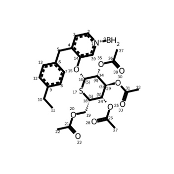 B[n+]1ccc(Cc2ccc(CC)cc2)c(O[C@H]2S[C@@H](COC(C)=O)[C@@H](OC(C)=O)[C@H](OC(C)=O)[C@H]2OC(C)=O)c1